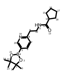 CC1(C)OB(c2ccc(CCNC(=O)C3CCCC3)nc2)OC1(C)C